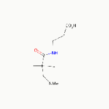 CNCC(C)(C)C(=O)NCCC(=O)O